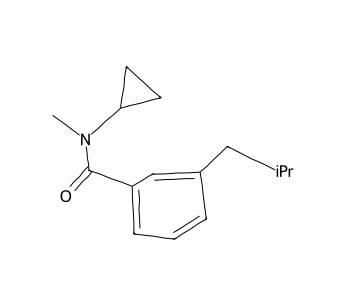 CC(C)Cc1cccc(C(=O)N(C)C2CC2)c1